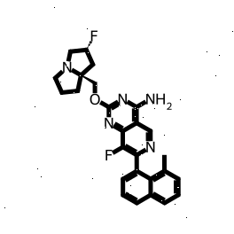 Cc1cccc2cccc(-c3ncc4c(N)nc(OC[C@@]56CCCN5C[C@H](F)C6)nc4c3F)c12